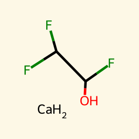 OC(F)C(F)F.[CaH2]